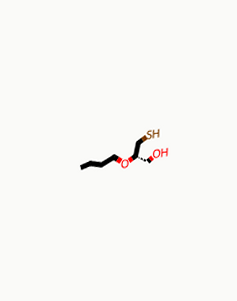 CCCCO[C@@H](CO)CS